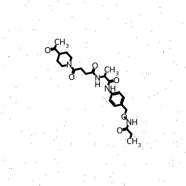 CCC(=O)NOCc1ccc(NC(=O)C(C)NC(=O)CCC(=O)N2CCC(C(C)=O)CC2)cc1